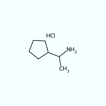 CC(N)C1CCCC1.Cl